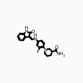 NC(=O)C1CCCN(c2ccc(N/C=C3\C(=O)Nc4ccccc43)cc2F)C1